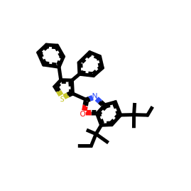 CCC(C)(C)c1cc(C(C)(C)CC)c2oc(-c3scc(-c4ccccc4)c3-c3ccccc3)nc2c1